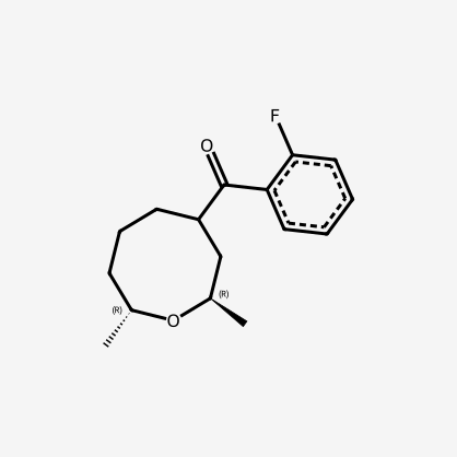 C[C@@H]1CCCC(C(=O)c2ccccc2F)C[C@@H](C)O1